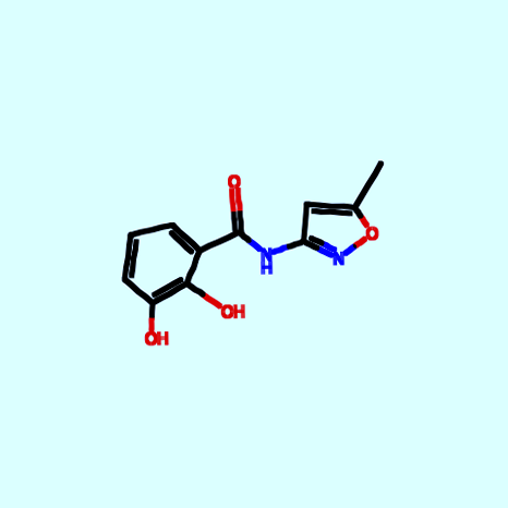 Cc1cc(NC(=O)c2cccc(O)c2O)no1